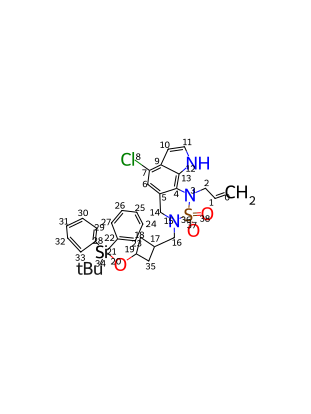 C=CCN1c2c(cc(Cl)c3cc[nH]c23)CN(CC2CC(O[Si](c3ccccc3)(c3ccccc3)C(C)(C)C)C2)S1(=O)=O